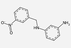 Nc1cccc(NCc2cccc([N+](=O)[O-])c2)c1